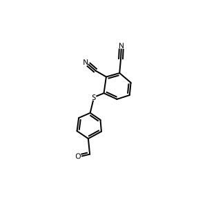 N#Cc1cccc(Sc2ccc(C=O)cc2)c1C#N